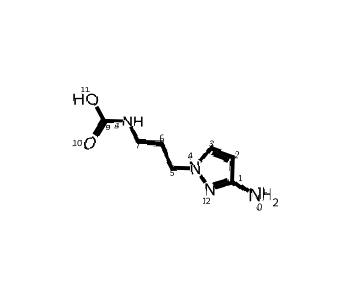 Nc1ccn(CCCNC(=O)O)n1